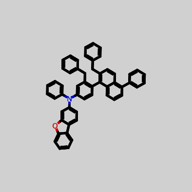 c1ccc(Cc2cc(N(c3ccccc3)c3ccc4c(c3)oc3ccccc34)ccc2-c2c(Cc3ccccc3)ccc3c(-c4ccccc4)cccc23)cc1